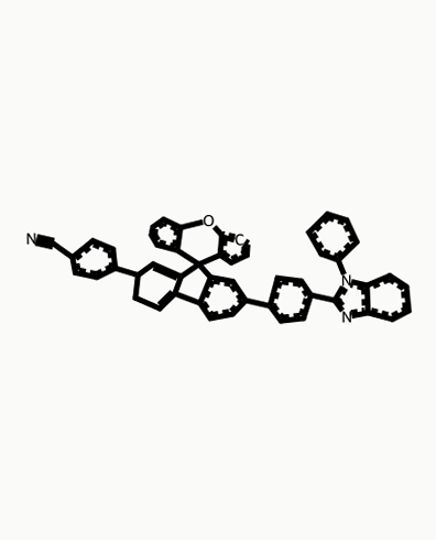 N#Cc1ccc(C2C=C3C(=CC2)c2ccc(-c4ccc(-c5nc6ccccc6n5-c5ccccc5)cc4)cc2C32c3ccccc3Oc3ccccc32)cc1